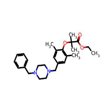 CCOC(=O)C(C)(C)Oc1c(C)cc(CN2CCN(Cc3ccccc3)CC2)cc1C